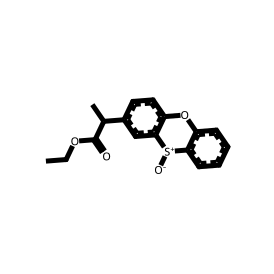 CCOC(=O)C(C)c1ccc2c(c1)[S+]([O-])c1ccccc1O2